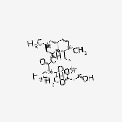 CC(O)[C@H](C)C(=O)O[C@H]1C[C@@H](C)C=C2C=C[C@H](C)C(CC[C@@H]3C[C@@H](O)CC(=O)O3)[C@H]21